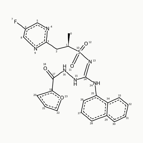 C[C@H](Cc1ncc(F)cn1)S(=O)(=O)/N=C(\NNC(=O)c1ccco1)Nc1cccc2ccccc12